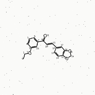 CCOc1cccc(C(=O)/C=C/c2ccc3c(c2)OCO3)c1